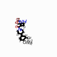 COc1ccc(C2CCN(C(=O)C3CCC34COC(=O)N4)CC2)cc1C(F)(F)F